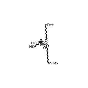 CCCCCC/C=C\CCCCCCCC(=O)O[C@H](COCCCCCCCCCCCCCCCCCC)COP(=O)(O)OC[C@@H](O)CO